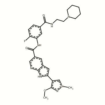 COc1nn(C)cc1-c1cc2cc(C(=O)Nc3cc(C(=O)NCCN4CCCCC4)ccc3F)cnc2[nH]1